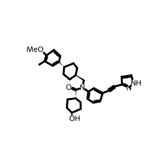 COc1ccc([C@H]2CC[C@H](CN(c3cccc(C#Cc4cc[nH]n4)c3)C(=O)[C@H]3CC[C@H](O)CC3)CC2)cc1C